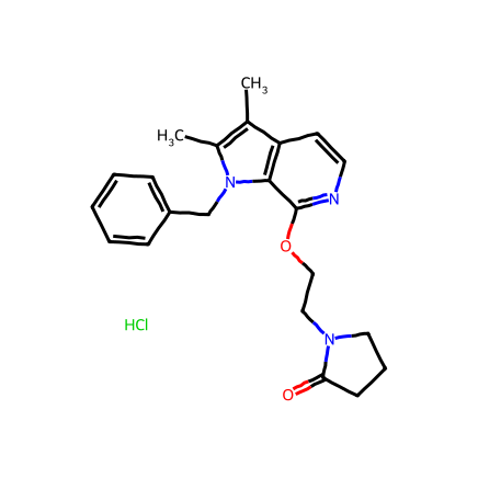 Cc1c(C)n(Cc2ccccc2)c2c(OCCN3CCCC3=O)nccc12.Cl